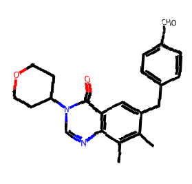 Cc1c(Cc2ccc(C=O)cc2)cc2c(=O)n(C3CCOCC3)cnc2c1C